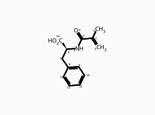 C=C(C)C(=O)N[C@@H](Cc1ccccc1)C(=O)O